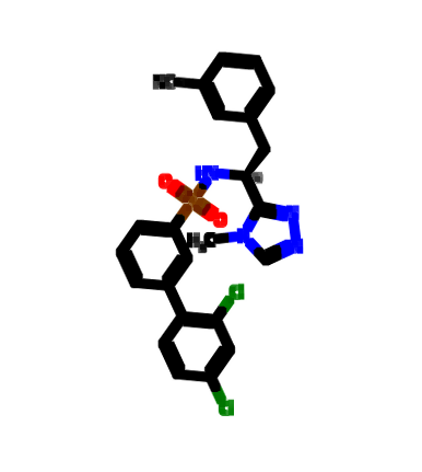 Cn1cnnc1[C@H](Cc1cccc(C#N)c1)NS(=O)(=O)c1cccc(-c2ccc(Cl)cc2Cl)c1